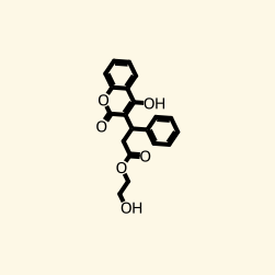 O=C(CC(c1ccccc1)c1c(O)c2ccccc2oc1=O)OCCO